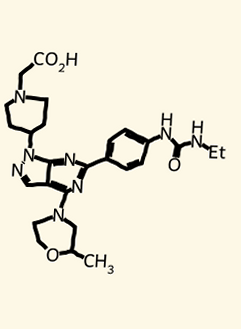 CCNC(=O)Nc1ccc(-c2nc(N3CCOC(C)C3)c3cnn(C4CCN(CC(=O)O)CC4)c3n2)cc1